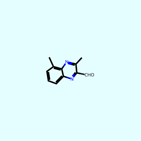 Cc1nc2c(C)cccc2nc1C=O